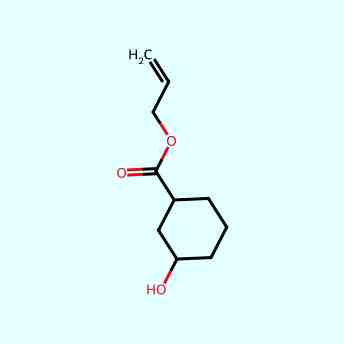 C=CCOC(=O)C1CCCC(O)C1